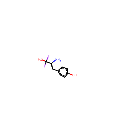 N[C@@H](Cc1ccc(O)cc1)C(O)(I)I